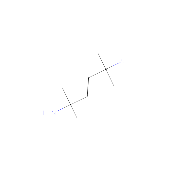 CCC(C)(N)CCC(C)(C)N